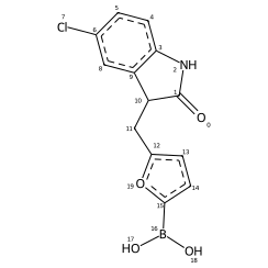 O=C1Nc2ccc(Cl)cc2C1Cc1ccc(B(O)O)o1